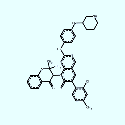 Cc1ccc(-c2cc3cnc(Nc4ccc(NC5CCCNC5)cc4)nc3n(C3C(=O)c4ccccc4SC3(C)C)c2=O)c(Cl)c1